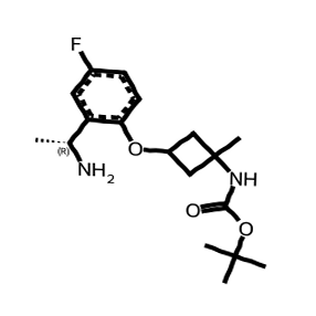 C[C@@H](N)c1cc(F)ccc1OC1CC(C)(NC(=O)OC(C)(C)C)C1